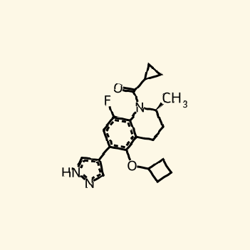 C[C@H]1CCc2c(OC3CCC3)c(-c3cn[nH]c3)cc(F)c2N1C(=O)C1CC1